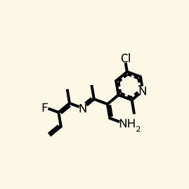 C=C\C(F)=C(C)/N=C(C)/C(=C/N)c1cc(Cl)cnc1C